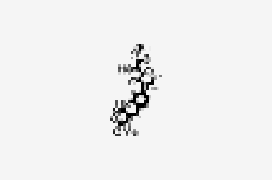 COC(=O)CC1Cc2ccc(N3CCO[C@H]([C@@H](O)C(=O)OC(C)(C)C)C3=O)cc2NC1=O